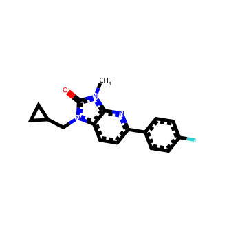 Cn1c(=O)n(CC2CC2)c2ccc(-c3ccc(F)cc3)nc21